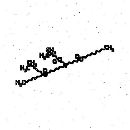 CCCCCCCCCCCOC(=O)CCCCCN(CCCCCCCC(=O)OC(CCCCCCCC)CCCCCC(C)C)CCOC(=O)CCCN(C)C